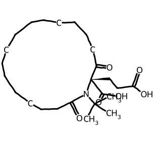 CC(C)(C)N1C(=O)CCCCCCCCCCCCCCC(=O)[C@]1(CCC(=O)O)C(=O)O